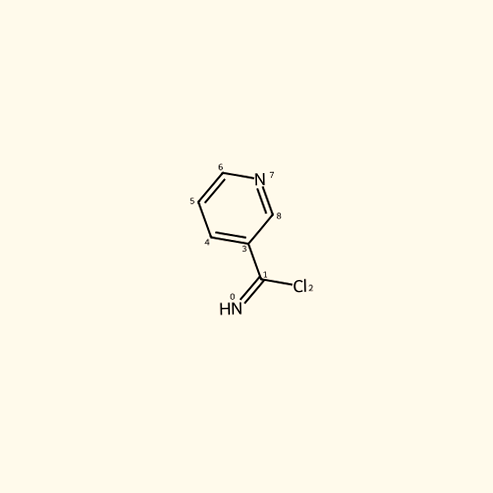 N=C(Cl)c1cccnc1